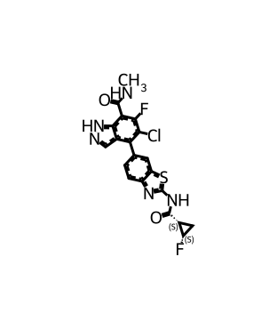 CNC(=O)c1c(F)c(Cl)c(-c2ccc3nc(NC(=O)[C@@H]4C[C@@H]4F)sc3c2)c2cn[nH]c12